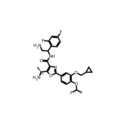 C[C@H](N)c1oc(-c2ccc(OC(F)F)c(OCC3CC3)c2)nc1C(=O)NC(CN)c1ccc(F)cc1F